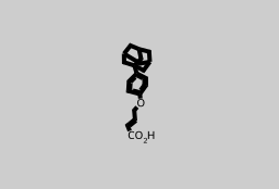 O=C(O)C=CCOc1ccc(C23CC4CC(CC(C4)C2)C3)cc1